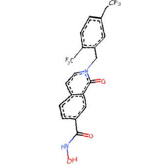 O=C(NO)c1ccc2ccn(Cc3cc(C(F)(F)F)ccc3C(F)(F)F)c(=O)c2c1